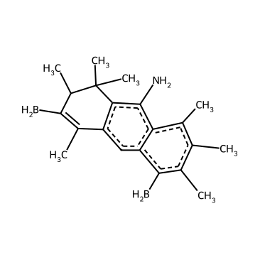 BC1=C(C)c2cc3c(B)c(C)c(C)c(C)c3c(N)c2C(C)(C)C1C